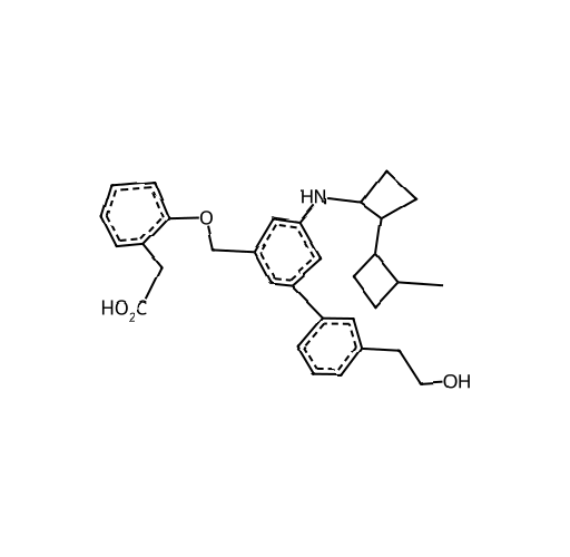 CC1CCC1C1CCC1Nc1cc(COc2ccccc2CC(=O)O)cc(-c2cccc(CCO)c2)c1